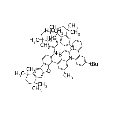 Cc1cc2c3c(c1)N(c1ccc(C(C)(C)C)cc1-c1ccccc1)c1oc4cc5c(cc4c1B3N(c1ccc3c(c1)C(C)(C)CCC3(C)C)c1ccc3c(oc4cc6c(cc43)C(C)(C)CCC6(C)C)c1-2)C(C)(C)CCC5(C)C